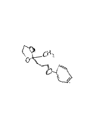 CC1(CCOc2c[c]ccc2)OCCO1